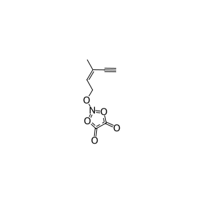 C#CC(C)=CCOn1oc(=O)c(=O)o1